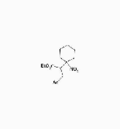 CCOC(=O)C(CC(C)=O)C1([N+](=O)[O-])CCCCC1